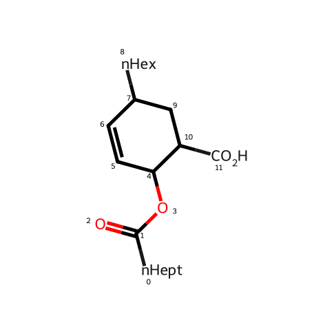 CCCCCCCC(=O)OC1C=CC(CCCCCC)CC1C(=O)O